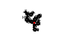 COc1cccc(Cn2cc(C(=O)Nc3cc(S(=O)(=O)N4CCOCC4)c(C)cc3C3CN(S(=O)(=O)c4cc(NC(=O)c5cn(C(C)C)nc5-c5cccc(OC)c5)ccc4C)CCO3)c(-c3cccc(OC)c3)n2)c1